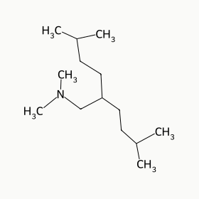 CC(C)CCC(CCC(C)C)CN(C)C